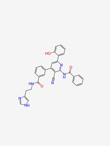 N#Cc1c(-c2cccc(C(=O)NCCc3c[nH]cn3)c2)cc(-c2ccccc2O)nc1NC(=O)c1ccccc1